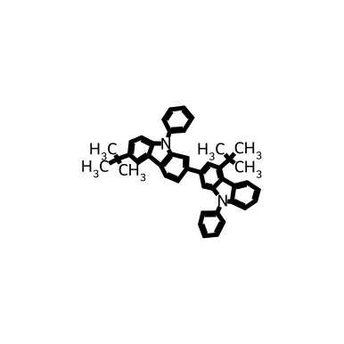 CC(C)(C)c1ccc2c(c1)c1ccc(-c3cc(C(C)(C)C)c4c5ccccc5n(-c5ccccc5)c4c3)cc1n2-c1ccccc1